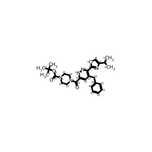 CC(C)c1coc(-c2nnc(C(=O)N3CCN(C(=O)OC(C)(C)C)CC3)cc2Cc2ccccc2)n1